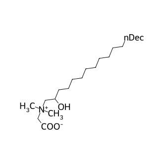 CCCCCCCCCCCCCCCCCCCCC(O)C[N+](C)(C)CC(=O)[O-]